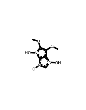 COc1c(OC)n(O)c2c1n(O)c[n+]2[O-]